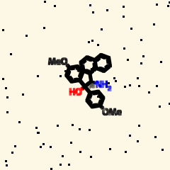 COc1ccc(C(O)(c2ccc(OC)cc2)[C@H](N)c2cccc3ccccc23)cc1